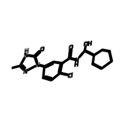 Cc1nn(-c2ccc(Cl)c(C(=O)NC(O)C3CCCCC3)c2)c(=O)[nH]1